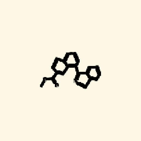 COC(=O)c1ccc2cccc(-c3nccc4ccccc34)c2c1